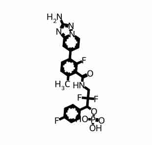 Cc1ccc(-c2ccn3nc(N)nc3c2)c(F)c1C(=O)NCC(F)(F)C(OP(=O)(O)O)c1ccc(F)cc1